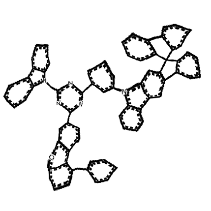 c1ccc(-c2cccc3oc4cc(-c5nc(-c6cccc(-n7c8ccccc8c8cc9c(cc87)C7(c8ccccc8-c8ccccc87)c7ccccc7-9)c6)nc(-n6c7ccccc7c7ccccc76)n5)ccc4c23)cc1